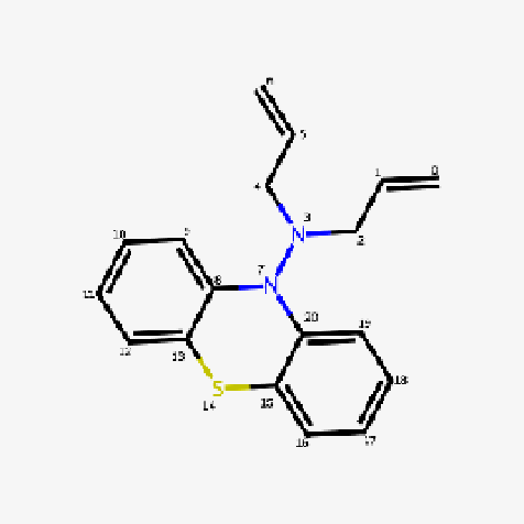 C=CCN(CC=C)N1c2ccccc2Sc2ccccc21